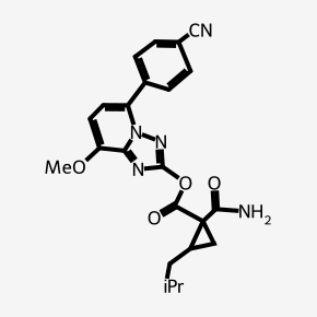 COc1ccc(-c2ccc(C#N)cc2)n2nc(OC(=O)C3(C(N)=O)CC3CC(C)C)nc12